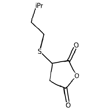 CC(C)CCSC1CC(=O)OC1=O